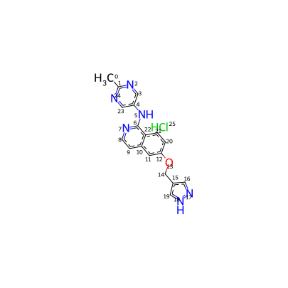 Cc1ncc(Nc2nccc3cc(OCc4cn[nH]c4)ccc23)cn1.Cl